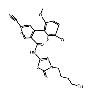 COc1ccc(Cl)c(F)c1-c1cc(C#N)ncc1C(=O)Nc1nn(CCCCO)c(=O)s1